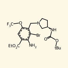 CCOC(=O)c1cc(OC(F)(F)F)c(CN2CC[C@@H](NC(=O)OC(C)(C)C)C2)c(Br)c1N